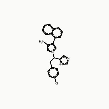 Nc1cn(C(Cc2ccc(Cl)cc2)c2cnc[nH]2)cc1-c1cccc2ccccc12